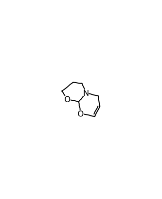 C1=COC2OCCCN2C1